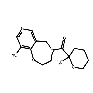 CC1(C(=O)N2CCOc3c(C#N)cncc3C2)CCCCO1